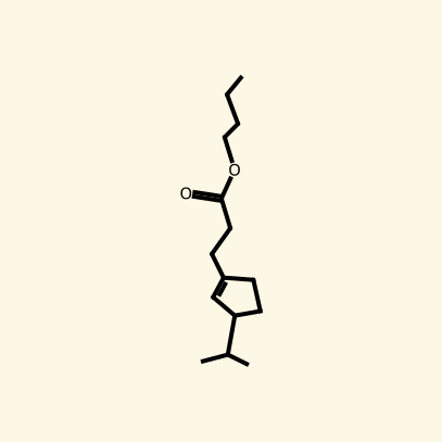 CCCCOC(=O)CCC1=CC(C(C)C)CC1